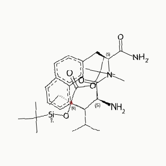 CC[C@](O[Si](C)(C)C(C)(C)C)(C(=O)OC(C)(C)C)C(C(C)C)[C@H](N)C(=O)N(C)[C@@H](Cc1ccc2ccccc2c1)C(N)=O